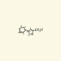 O=C(O)C1=CN(c2cccnc2)CS1